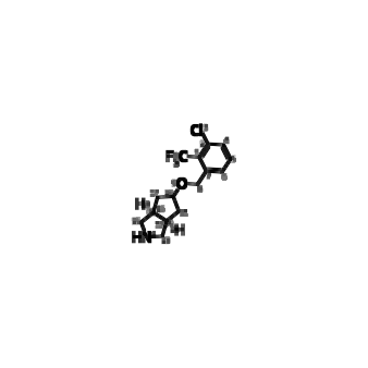 FC(F)(F)c1c(Cl)cccc1COC1C[C@H]2CNC[C@H]2C1